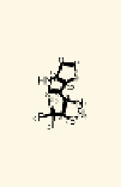 FC(F)(F)c1snnc1-c1c[nH]c2ccsc12